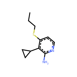 CCCSc1ccnc(N)c1C1CC1